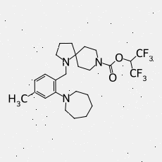 Cc1ccc(CN2CCCC23CCN(C(=O)OC(C(F)(F)F)C(F)(F)F)CC3)c(N2CCCCCC2)c1